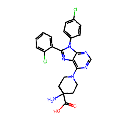 NC1(C(=O)O)CCN(c2ncnc3c2nc(-c2ccccc2Cl)n3-c2ccc(Cl)cc2)CC1